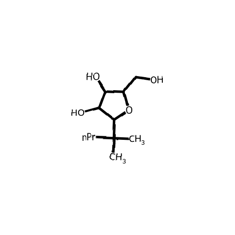 CCCC(C)(C)C1OC(CO)C(O)C1O